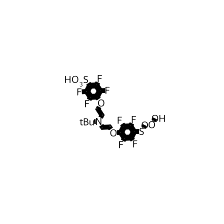 CC(C)(C)N(CCOc1c(F)c(F)c(SOOO)c(F)c1F)CCOc1c(F)c(F)c(S(=O)(=O)O)c(F)c1F